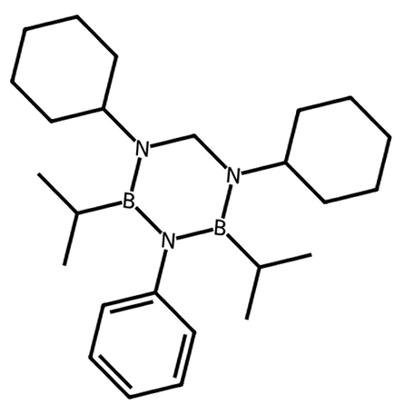 CC(C)B1N(c2ccccc2)B(C(C)C)N(C2CCCCC2)CN1C1CCCCC1